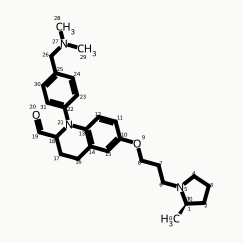 C[C@@H]1CCCN1CCCOc1ccc2c(c1)CCC(C=O)N2c1ccc(CN(C)C)cc1